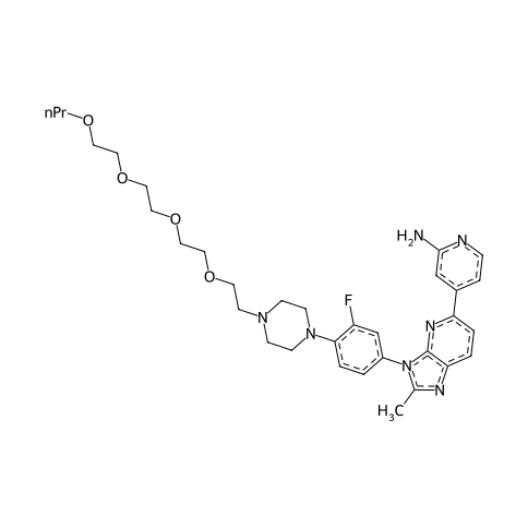 CCCOCCOCCOCCOCCN1CCN(c2ccc(-n3c(C)nc4ccc(-c5ccnc(N)c5)nc43)cc2F)CC1